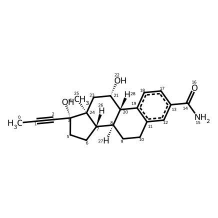 CC#C[C@]1(O)CC[C@H]2[C@@H]3CCc4cc(C(N)=O)ccc4[C@H]3[C@@H](O)C[C@@]21C